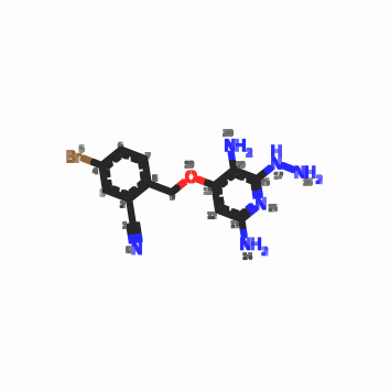 N#Cc1cc(Br)ccc1COc1cc(N)nc(NN)c1N